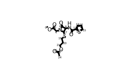 COC(=O)CN1C(=O)C(NC(=O)c2cccs2)C1SCCCOC(C)=O